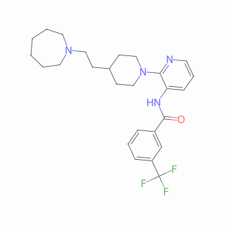 O=C(Nc1cccnc1N1CCC(CCN2CCCCCC2)CC1)c1cccc(C(F)(F)F)c1